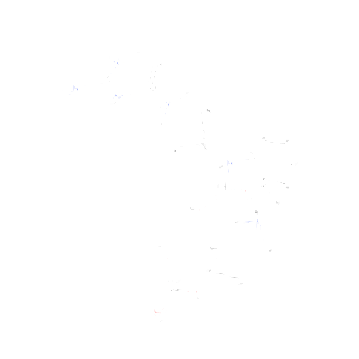 Nc1nccc(N2CCC(N3C(=O)OC4(CN5CCC(OC(=O)O)CC5)CCCCC34)CC2)n1